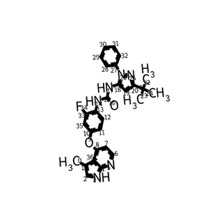 Cc1c[nH]c2nccc(Oc3ccc(NC(=O)Nc4cc(C(C)(C)C)nn4-c4ccccc4)c(F)c3)c12